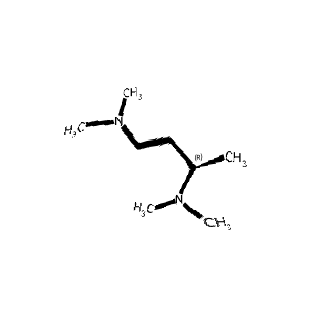 C[C@H](CCN(C)C)N(C)C